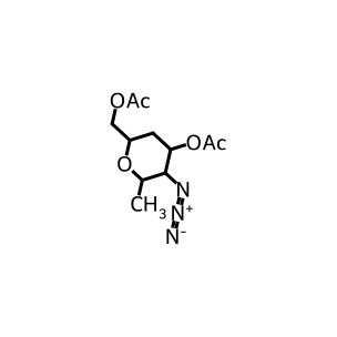 CC(=O)OCC1CC(OC(C)=O)C(N=[N+]=[N-])C(C)O1